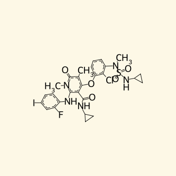 Cc1c(Oc2cccc(N(C)S(=O)(=O)NC3CC3)c2Cl)c(C(=O)NC2CC2)c(Nc2ccc(I)cc2F)n(C)c1=O